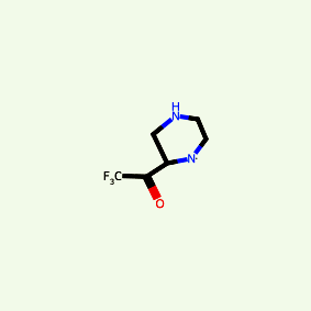 O=C(C1CNCC[N]1)C(F)(F)F